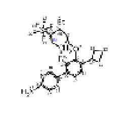 C/C=C(\[C@H](CC)CCOc1c(C2CCC2)ccc(-c2cnc(N)cn2)c1F)S(F)(F)(F)(F)F